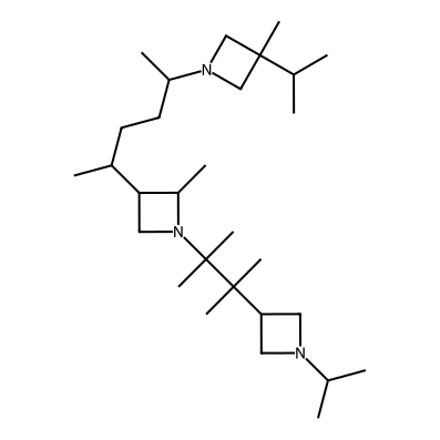 CC(CCC(C)N1CC(C)(C(C)C)C1)C1CN(C(C)(C)C(C)(C)C2CN(C(C)C)C2)C1C